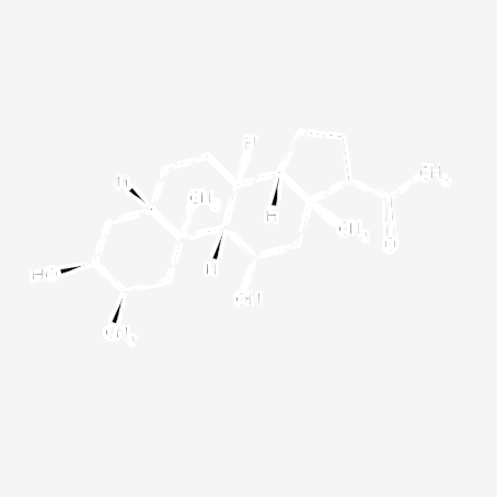 CC(=O)[C@H]1CC[C@H]2[C@@H]3CC[C@H]4C[C@H](O)[C@H](C)C[C@]4(C)[C@H]3[C@@H](O)C[C@]12C